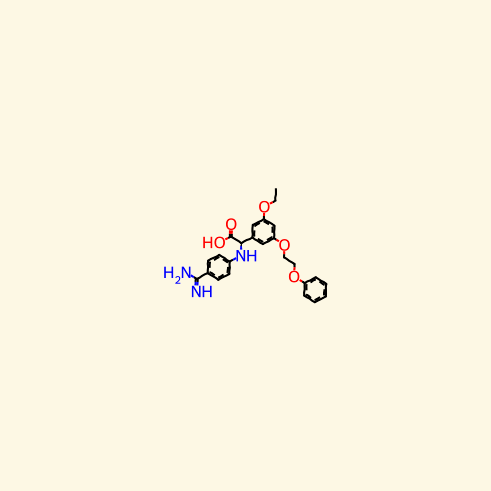 CCOc1cc(OCCOc2ccccc2)cc([C@@H](Nc2ccc(C(=N)N)cc2)C(=O)O)c1